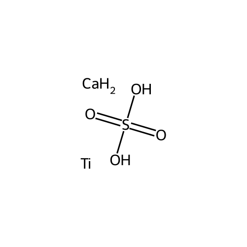 O=S(=O)(O)O.[CaH2].[Ti]